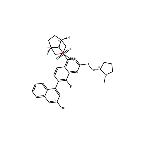 CN1CCC[C@H]1COc1nc(N2C[C@H]3CC[C@@H](C2)N3S(N)(=O)=O)c2ccc(-c3cc(O)cc4ccccc34)c(F)c2n1